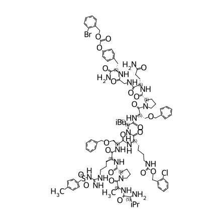 CC[C@H](C)[C@H](NC(=O)[C@H](CCCCNC(=O)OCc1ccccc1Cl)NC(=O)[C@H](COCc1ccccc1)NC(=O)[C@H](CCCNC(=N)NS(=O)(=O)c1ccc(C)cc1)NC(=O)[C@@H]1CCCN1C(=O)[C@H](C)NC(=O)[C@@H](N)C(C)C)C(=O)N[C@@H](COCc1ccccc1)C(=O)N1CCC[C@H]1C(=O)N[C@@H](CCC(N)=O)C(=O)NCC(=O)N[C@@H](Cc1ccc(OC(=O)OCc2ccccc2Br)cc1)C(N)=O